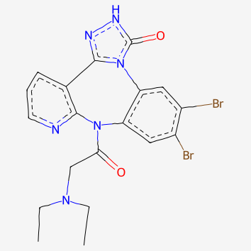 CCN(CC)CC(=O)N1c2cc(Br)c(Br)cc2-n2c(n[nH]c2=O)-c2cccnc21